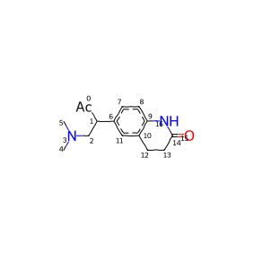 CC(=O)C(CN(C)C)c1ccc2c(c1)CCC(=O)N2